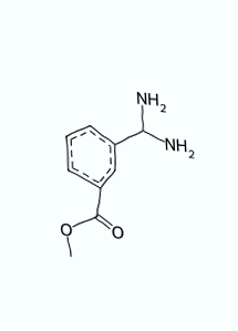 COC(=O)c1cccc(C(N)N)c1